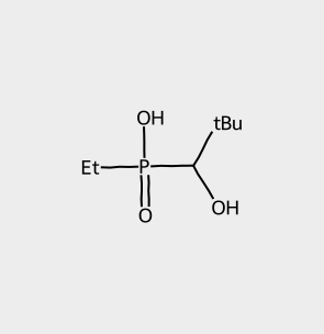 CCP(=O)(O)C(O)C(C)(C)C